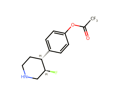 O=C(Oc1ccc([C@H]2CCNC[C@@H]2F)cc1)C(F)(F)F